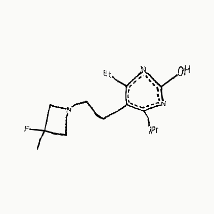 CCc1nc(O)nc(C(C)C)c1CCN1CC(C)(F)C1